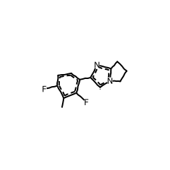 Cc1c(F)ccc(-c2[c]n3c(n2)CCC3)c1F